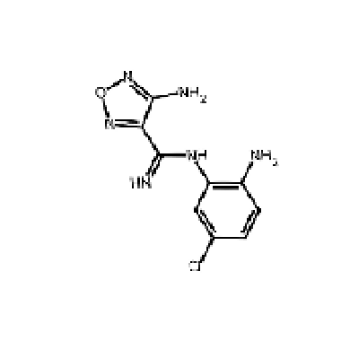 N=C(Nc1cc(Cl)ccc1N)c1nonc1N